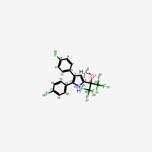 COC(c1cc(-c2ccc(F)cc2)c(-c2ccc(F)cc2)[nH]1)(C(F)(F)F)C(F)(F)F